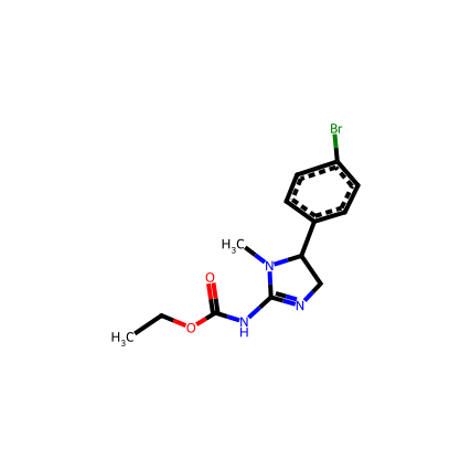 CCOC(=O)NC1=NCC(c2ccc(Br)cc2)N1C